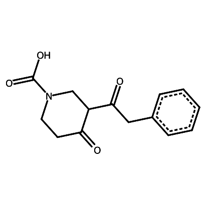 O=C1CCN(C(=O)O)CC1C(=O)Cc1ccccc1